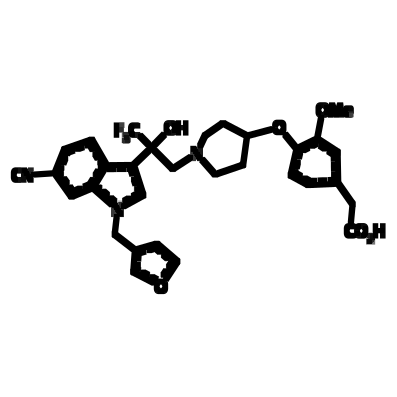 [C-]#[N+]c1ccc2c(C(O)(CN3CCC(Oc4ccc(CC(=O)O)cc4OC)CC3)C(F)(F)F)cn(Cc3ccoc3)c2c1